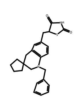 O=C1NC(=O)C(Cc2ccc3c(c2)CC2(CCCC2)CN3Cc2ccccc2)S1